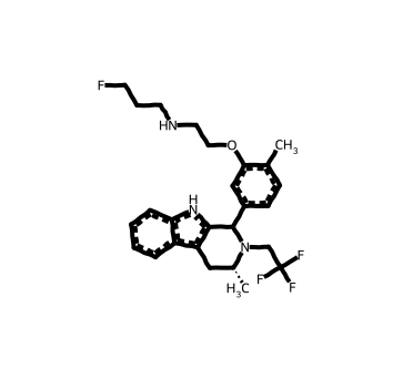 Cc1ccc(C2c3[nH]c4ccccc4c3C[C@@H](C)N2CC(F)(F)F)cc1OCCNCCCF